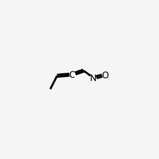 CC=C=CN=O